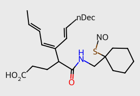 CC=CC=C(C=CCCCCCCCCCC)C(CCC(=O)O)C(=O)NCC1(SN=O)CCCCC1